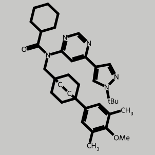 COc1c(C)cc(C23CCC(CN(C(=O)C4CCCCC4)c4cc(-c5cnn(C(C)(C)C)c5)ncn4)(CC2)CC3)cc1C